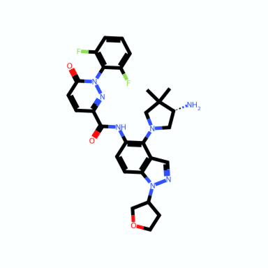 CC1(C)CN(c2c(NC(=O)c3ccc(=O)n(-c4c(F)cccc4F)n3)ccc3c2cnn3C2CCOC2)C[C@H]1N